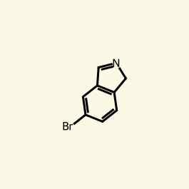 Brc1ccc2c(c1)C=NC2